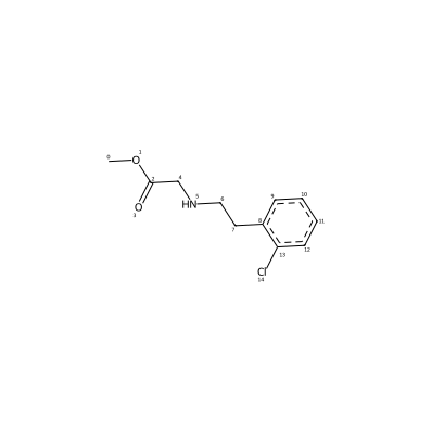 COC(=O)CNCCc1ccccc1Cl